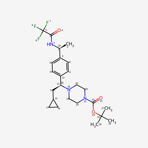 C[C@H](NC(=O)C(F)(F)F)c1ccc([C@H](CC2CC2)N2CCN(C(=O)OC(C)(C)C)CC2)cc1